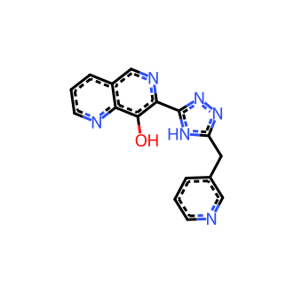 Oc1c(-c2nnc(Cc3cccnc3)[nH]2)ncc2cccnc12